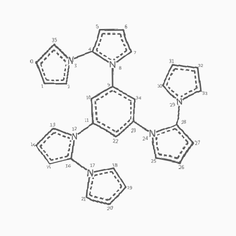 c1ccn(-c2cccn2-c2cc(-n3cccc3-n3cccc3)cc(-n3cccc3-n3cccc3)c2)c1